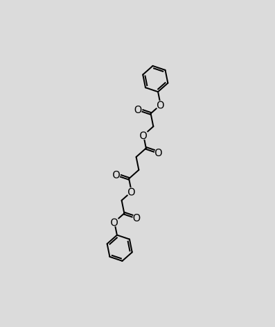 O=C(CCC(=O)OCC(=O)Oc1ccccc1)OCC(=O)Oc1ccccc1